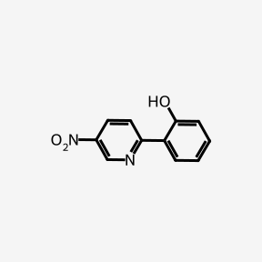 O=[N+]([O-])c1ccc(-c2ccccc2O)nc1